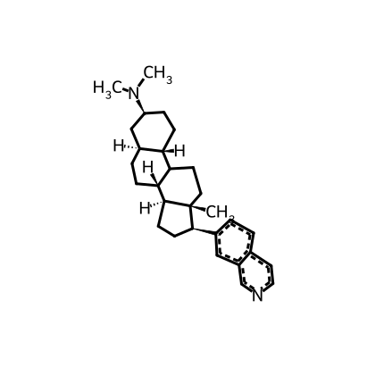 CN(C)[C@H]1CC[C@@H]2C3CC[C@]4(C)[C@@H](c5ccc6ccncc6c5)CC[C@H]4[C@@H]3CC[C@H]2C1